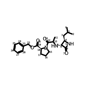 CC(C)C[C@H]1NC(=O)[C@@H]1NC(C)C(=O)N1CCC[C@H]1C(=O)OCc1ccccc1